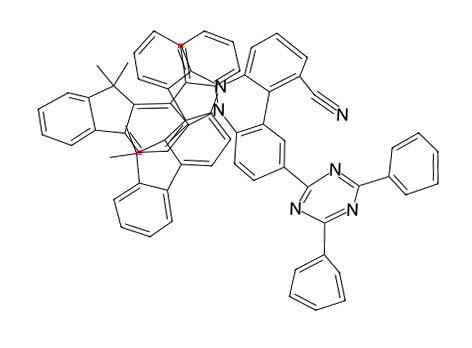 CC1(C)c2ccccc2-c2ccc3c(c21)c1ccccc1n3-c1ccc(-c2nc(-c3ccccc3)nc(-c3ccccc3)n2)cc1-c1c(C#N)cccc1-n1c2ccccc2c2c3c(ccc21)-c1ccccc1C3(C)C